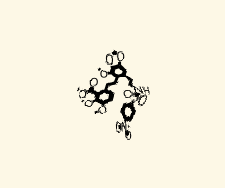 COC(=O)c1c(/C=C/c2c(CCNS(=O)(=O)c3ccc([N+](=O)[O-])cc3)cc3c(c2OC)OCO3)ccc(OC)c1OC